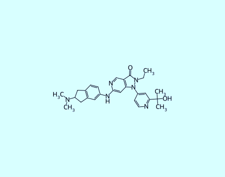 CCn1c(=O)c2cnc(Nc3ccc4c(c3)CC(N(C)C)C4)cc2n1-c1ccnc(C(C)(C)O)c1